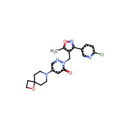 Cc1onc(-c2ccc(Cl)nc2)c1Cn1ncc(N2CCC3(CCO3)CC2)cc1=O